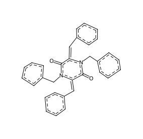 O=c1c(=Cc2ccccc2)n(Cc2ccccc2)c(=O)c(=Cc2ccccc2)n1Cc1ccccc1